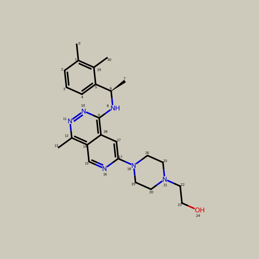 Cc1cccc([C@@H](C)Nc2nnc(C)c3cnc(N4CCN(CCO)CC4)cc23)c1C